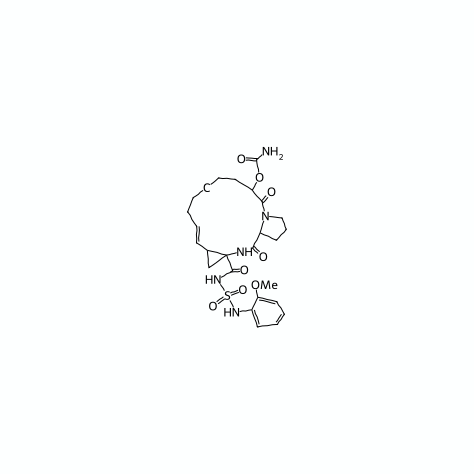 COc1ccccc1NS(=O)(=O)NC(=O)C12CC1/C=C/CCCCCC(OC(N)=O)C(=O)N1CCCC1C(=O)N2